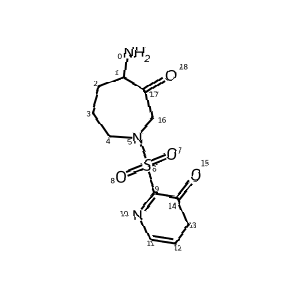 NC1CCCN(S(=O)(=O)C2=NC=CCC2=O)CC1=O